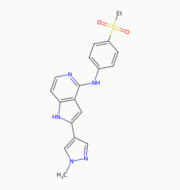 CCS(=O)(=O)c1ccc(Nc2nccc3[nH]c(-c4cnn(C)c4)cc23)cc1